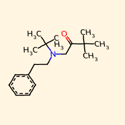 CC(C)(C)C(=O)CN(CCc1ccccc1)C(C)(C)C